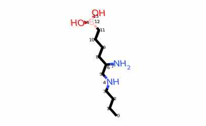 CCCCNCC(N)CCCCB(O)O